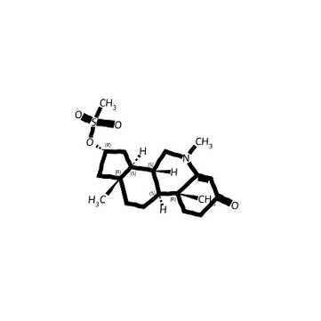 CN1C[C@H]2[C@@H]3C[C@@H](OS(C)(=O)=O)C[C@@]3(C)CC[C@@H]2[C@@]2(C)CCC(=O)C=C12